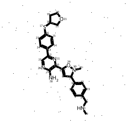 CNCc1ccc(C2C=C(c3nc(-c4ccc(SC5CCOC5)cc4)cnc3N)ON2C)cc1